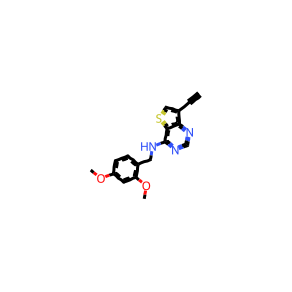 C#Cc1csc2c(NCc3ccc(OC)cc3OC)ncnc12